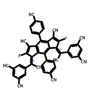 N#CC1=C(F)/C(=C(/C#N)c2cc(C#N)cc(C#N)c2)c2c1c(-c1ccc(C#N)cc1)c1c(c2-c2ccc(C#N)cc2)/C(=C(\C#N)c2cc(C#N)cc(C#N)c2)C(F)=C1C#N